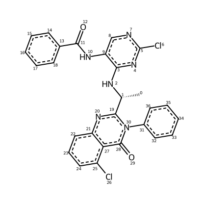 C[C@@H](Nc1nc(Cl)ncc1NC(=O)c1ccccc1)c1nc2cccc(Cl)c2c(=O)n1-c1ccccc1